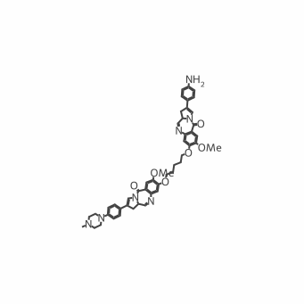 COc1cc2c(cc1OCCCCCOc1cc3c(cc1OC)C(=O)N1C=C(c4ccc(N5CCN(C)CC5)cc4)CC1C=N3)N=CC1CC(c3ccc(N)cc3)=CN1C2=O